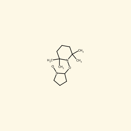 CC1(C)CCCC(C)(C)N1OC1CCCN1[O]